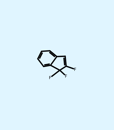 FC1=Cc2ccccc2C1(F)F